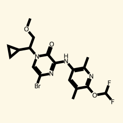 COCC(C1CC1)n1cc(Br)nc(Nc2cc(C)c(OC(F)F)nc2C)c1=O